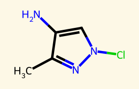 Cc1nn(Cl)cc1N